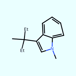 CCC(C)(CC)c1cn(C)c2ccccc12